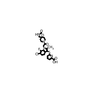 Cc1c(Sc2cccc(C(=O)O)n2)c2ccc(Cl)c(F)c2n1CC(=O)N1CCC2(CC1)CNC(=O)O2